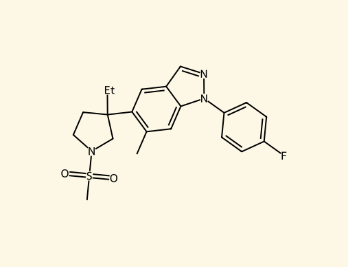 CCC1(c2cc3cnn(-c4ccc(F)cc4)c3cc2C)CCN(S(C)(=O)=O)C1